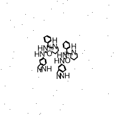 O=C(Nc1ccc2[nH]ncc2c1)N[C@@H](c1ccccc1)[C@@H]1CCCCN1.O=C(Nc1ccc2[nH]ncc2c1)N[C@H](c1ccccc1)[C@H]1CCCCN1